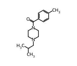 C[C](C)CN1CCN(C(=O)c2ccc(C)cc2)CC1